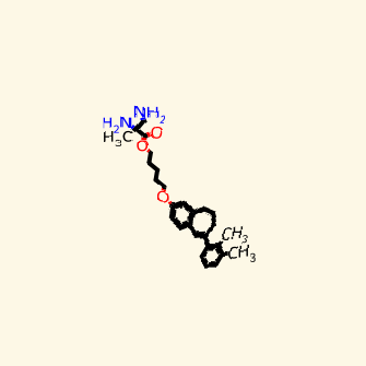 Cc1cccc(C2=Cc3ccc(OCCCCCOC(=O)C(C)(N)CN)cc3CCC2)c1C